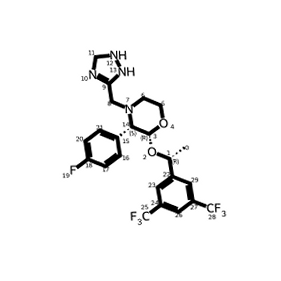 C[C@@H](O[C@H]1OCCN(CC2=NCNN2)[C@H]1c1ccc(F)cc1)c1cc(C(F)(F)F)cc(C(F)(F)F)c1